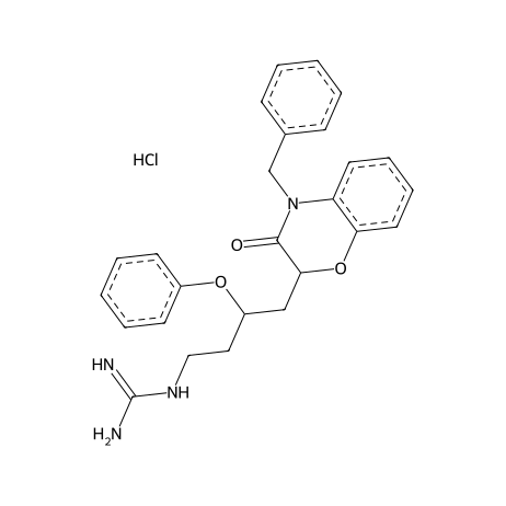 Cl.N=C(N)NCCC(CC1Oc2ccccc2N(Cc2ccccc2)C1=O)Oc1ccccc1